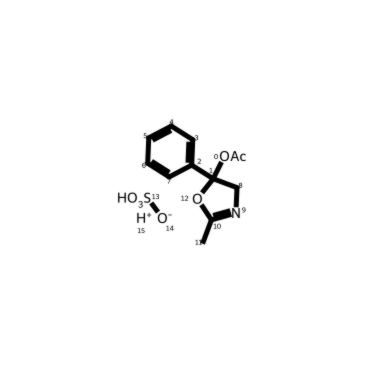 CC(=O)OC1(c2ccccc2)CN=C(C)O1.O=S(=O)([O-])O.[H+]